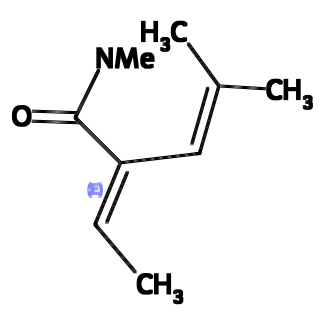 C/C=C(\C=C(C)C)C(=O)NC